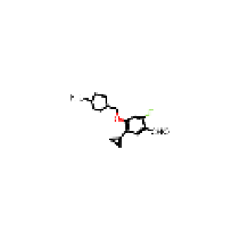 O=Cc1cc(C2CC2)c(OCC2CCC(C(F)(F)F)CC2)cc1F